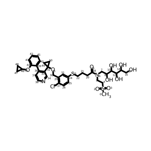 CS(=O)(=O)CCN(CC(O)C(O)C(O)C(O)CO)C(=O)CCCSc1ccc(Cl)c(COC2(c3cnccc3-c3ccccc3OC3CC3)CC2)c1